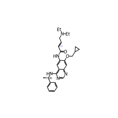 CCN(CC)C/C=C/C(=O)Nc1cc2c(N[C@H](C)c3ccccc3)ncnc2cc1OCC1CC1